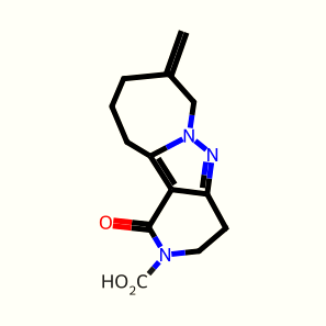 C=C1CCCc2c3c(nn2C1)CCN(C(=O)O)C3=O